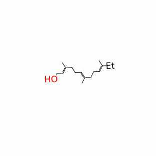 CCC(C)=CCCC(C)=CCCC(C)=CCO